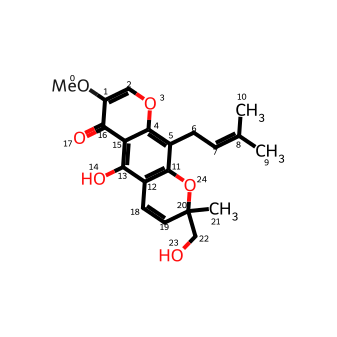 COc1coc2c(CC=C(C)C)c3c(c(O)c2c1=O)C=CC(C)(CO)O3